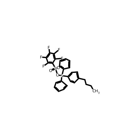 CCCCc1ccc(S(OS(=O)(=O)c2c(F)c(F)c(F)c(F)c2F)(c2ccccc2)c2ccccc2)cc1